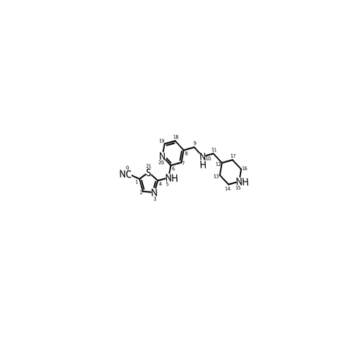 N#Cc1cnc(Nc2cc(CNCC3CCNCC3)ccn2)s1